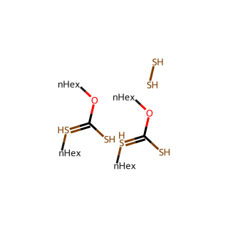 CCCCCCOC(S)=[SH]CCCCCC.CCCCCCOC(S)=[SH]CCCCCC.SS